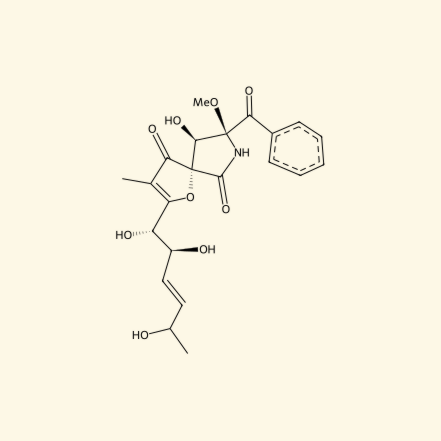 CO[C@@]1(C(=O)c2ccccc2)NC(=O)[C@]2(OC([C@@H](O)[C@@H](O)/C=C/C(C)O)=C(C)C2=O)[C@H]1O